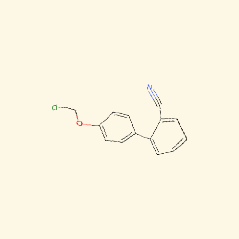 N#Cc1ccccc1-c1ccc(OCCl)cc1